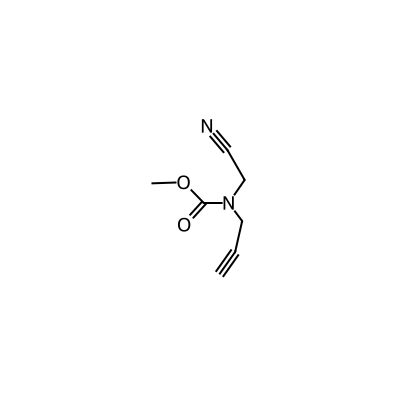 C#CCN(CC#N)C(=O)OC